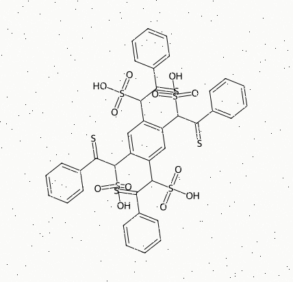 O=S(=O)(O)C(C(=S)c1ccccc1)c1cc(C(C(=S)c2ccccc2)S(=O)(=O)O)c(C(C(=S)c2ccccc2)S(=O)(=O)O)cc1C(C(=S)c1ccccc1)S(=O)(=O)O